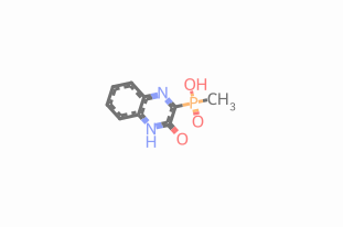 CP(=O)(O)c1nc2ccccc2[nH]c1=O